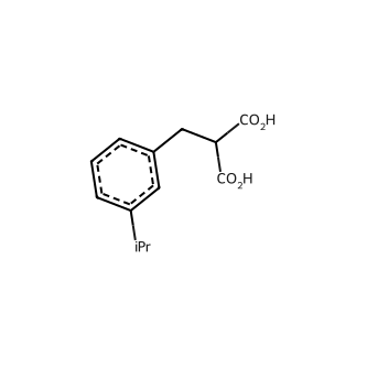 CC(C)c1cccc(CC(C(=O)O)C(=O)O)c1